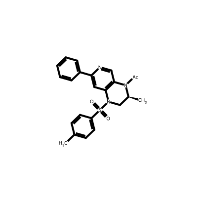 CC(=O)N1c2cnc(-c3ccccc3)cc2N(S(=O)(=O)c2ccc(C)cc2)C[C@@H]1C